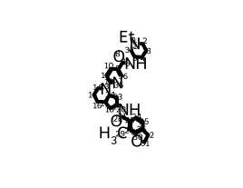 CCN1CCCC(NC(=O)c2ccc(N3CCCC4CC(NC(=O)c5ccc6c(c5C)OCC6)CC43)nc2)C1